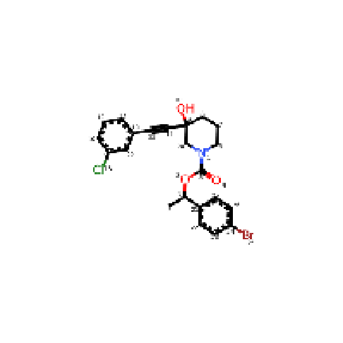 CC(OC(=O)N1CCCC(O)(C#Cc2cccc(Cl)c2)C1)c1ccc(Br)cc1